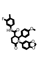 COc1ccc(C2C(C(=O)Nc3ccc(C)c(F)c3)CCC(=O)N2c2ccc3c(c2)OCO3)cc1